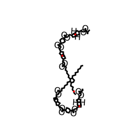 C=CC(=O)OCC1C[C@@H]2C3CC(CC3COC(=O)C3CCC(C(=O)OCC4CC5C6CC(COC(=O)CCCCCCC7C(CCCCCC)CCC(CCCCCCCC)C7CCCCCCC(=O)OCC7CC8CC7C7CC(COC(=O)C9CCC(C(=O)OCC%10CC%11CC%10[C@H]%10CC(COC(=O)C(=C)C)C[C@@H]%11%10)CC9)CC87)C(C6)C5C4)CC3)[C@@H]2C1